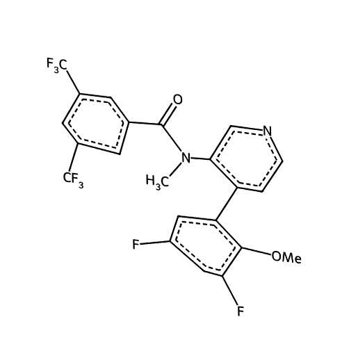 COc1c(F)cc(F)cc1-c1ccncc1N(C)C(=O)c1cc(C(F)(F)F)cc(C(F)(F)F)c1